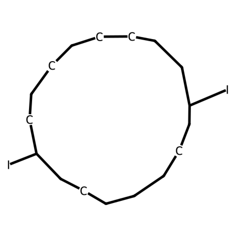 IC1CCCCCCCCC(I)CCCCCCC1